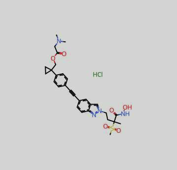 CN(C)CC(=O)OCC1(c2ccc(C#Cc3ccc4nn(CCC(C)(C(=O)NO)S(C)(=O)=O)cc4c3)cc2)CC1.Cl